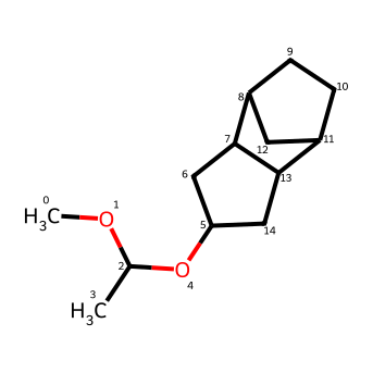 COC(C)OC1CC2C3CCC(C3)C2C1